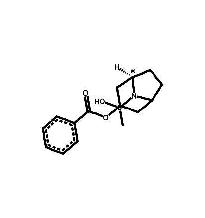 CB(O)N1C2CC[C@@H]1CC(OC(=O)c1ccccc1)C2